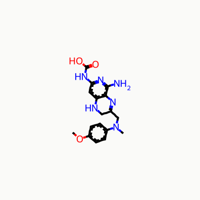 COc1ccc(N(C)CC2=Nc3c(cc(NC(=O)O)nc3N)NC2)cc1